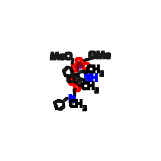 COCCOP(=O)(OCCOC)C1=C(C)NC(C)=C(C(=O)OCCN(C)Cc2ccccc2)C1c1ccccc1C(F)(F)F